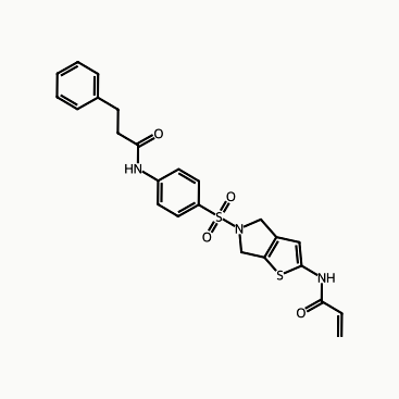 C=CC(=O)Nc1cc2c(s1)CN(S(=O)(=O)c1ccc(NC(=O)CCc3ccccc3)cc1)C2